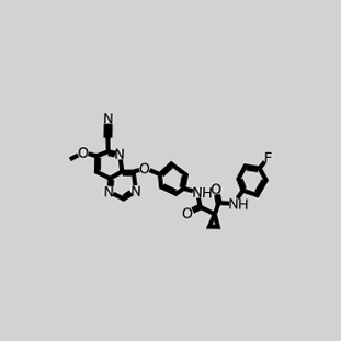 COc1cc2ncnc(Oc3ccc(NC(=O)C4(C(=O)Nc5ccc(F)cc5)CC4)cc3)c2nc1C#N